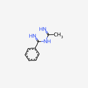 CC(=N)NC(=N)c1ccccc1